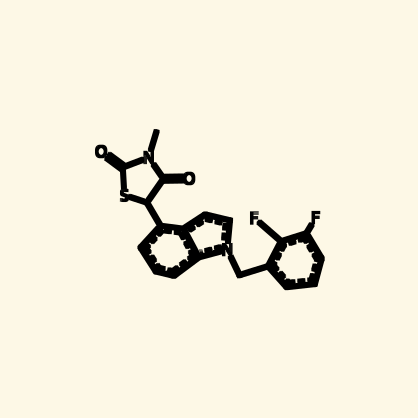 CN1C(=O)SC(c2cccc3c2ccn3Cc2cccc(F)c2F)C1=O